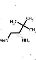 CNC[C@@H](N)C(C)(C)C